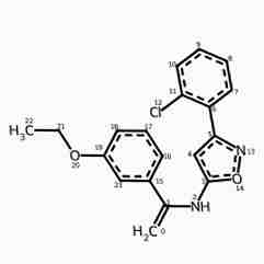 C=C(Nc1cc(-c2ccccc2Cl)no1)c1cccc(OCC)c1